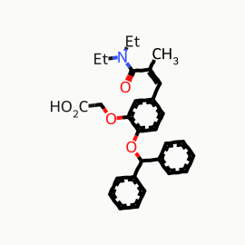 CCN(CC)C(=O)/C(C)=C\c1ccc(OC(c2ccccc2)c2ccccc2)c(OCC(=O)O)c1